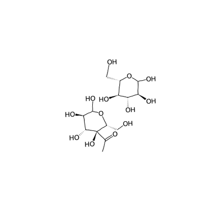 CC(=O)[C@]1(O)[C@H](O)[C@@H](O)C(O)O[C@@H]1CO.OC[C@@H]1OC(O)[C@@H](O)[C@H](O)[C@H]1O